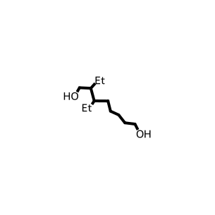 CCC(CO)C(CC)CCCCCO